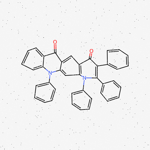 O=c1c(-c2ccccc2)c(-c2ccccc2)n(-c2ccccc2)c2cc3c(cc12)c(=O)c1ccccc1n3-c1ccccc1